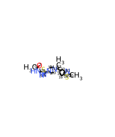 CC(=O)Nc1nnc(N2CCN(C(C)c3ccc4sc(C)nc4c3)CC2)s1